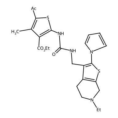 CCOC(=O)c1c(NC(=O)NCc2c(-n3cccc3)sc3c2CCN(CC)C3)sc(C(C)=O)c1C